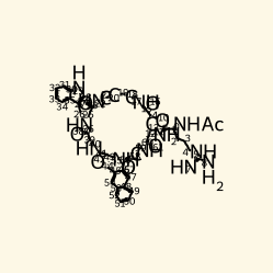 CC(=O)N[C@H](CCCNC(=N)N)C(=O)N[C@H]1CCC(=O)NCCCCNC(=O)[C@@H](Cc2c[nH]c3ccccc23)NC(=O)CNC(=O)[C@@H](Cc2ccc3ccccc3c2)NC(=O)CNC1=O